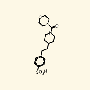 O=C(N1CCOCC1)N1CCC(CCc2ccc(S(=O)(=O)O)cc2)CC1